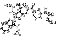 COc1cc(C(=O)N2CCCC(NC(=O)OC(C)(C)C)C2)cc2sc(-c3cc4ccccc4n3CC3CC3)c(CCO)c12